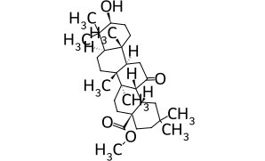 COC(=O)[C@]12CCC(C)(C)C[C@H]1[C@H]1C(=O)C[C@@H]3[C@@]4(C)CC[C@H](O)C(C)(C)[C@@H]4CC[C@@]3(C)[C@]1(C)CC2